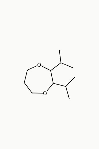 CC(C)C1OCCCOC1C(C)C